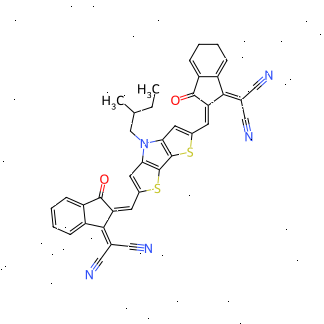 CCC(C)Cn1c2cc(/C=C3\C(=O)C4=CCCC=C4C3=C(C#N)C#N)sc2c2sc(/C=C3\C(=O)c4ccccc4C3=C(C#N)C#N)cc21